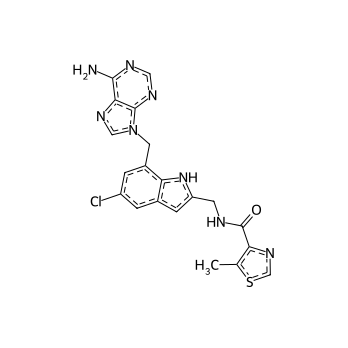 Cc1scnc1C(=O)NCc1cc2cc(Cl)cc(Cn3cnc4c(N)ncnc43)c2[nH]1